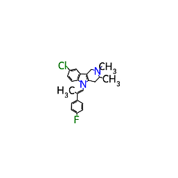 CC(=Cn1c2c(c3cc(Cl)ccc31)CN(C)C(C)C2)c1ccc(F)cc1